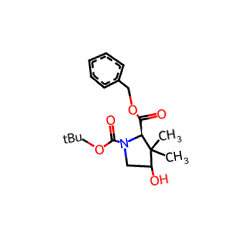 CC(C)(C)OC(=O)N1CC(O)C(C)(C)[C@@H]1C(=O)OCc1ccccc1